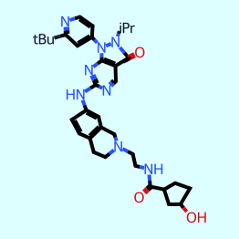 CC(C)n1c(=O)c2cnc(Nc3ccc4c(c3)CN(CCNC(=O)C3CCC(O)C3)CC4)nc2n1-c1ccnc(C(C)(C)C)c1